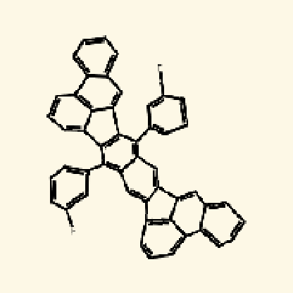 Fc1cccc(-c2c3cc4c(cc3c(-c3cccc(F)c3)c3c5cc6ccccc6c6cccc(c23)c65)c2cc3ccccc3c3cccc4c32)c1